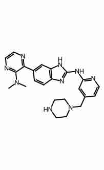 CN(C)c1nccnc1-c1ccc2nc(Nc3cc(CN4CCNCC4)ccn3)[nH]c2c1